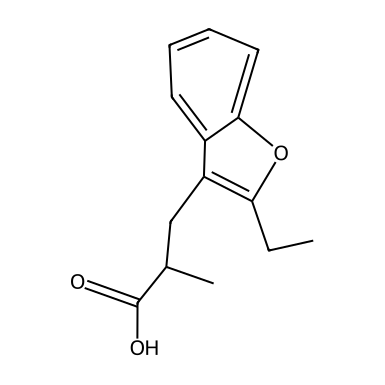 CCc1oc2ccccc2c1CC(C)C(=O)O